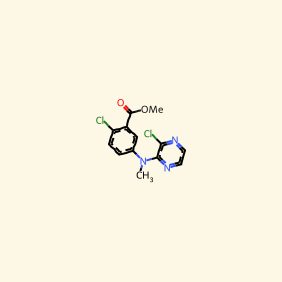 COC(=O)c1cc(N(C)c2nccnc2Cl)ccc1Cl